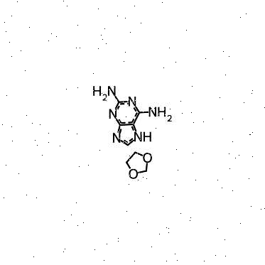 C1COCO1.Nc1nc(N)c2[nH]cnc2n1